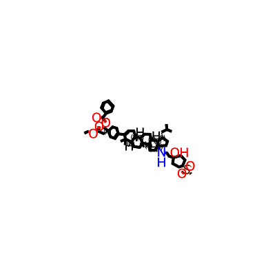 CCOC(=O)C[C@]1(COC(=O)c2ccccc2)CC=C(C2=CC[C@]3(C)[C@H]4CC[C@@H]5[C@H]6[C@H](CC(C)C)CC[C@]6(NCC[C@]6(O)CC[C@@H](S(C)(=O)=O)CC6)CC[C@@]5(C)[C@]4(C)CC[C@H]3C2(C)C)CC1